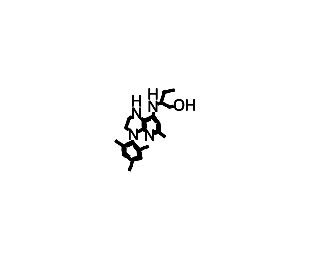 CCC(CO)Nc1cc(C)nc2c1NCCN2c1c(C)cc(C)cc1C